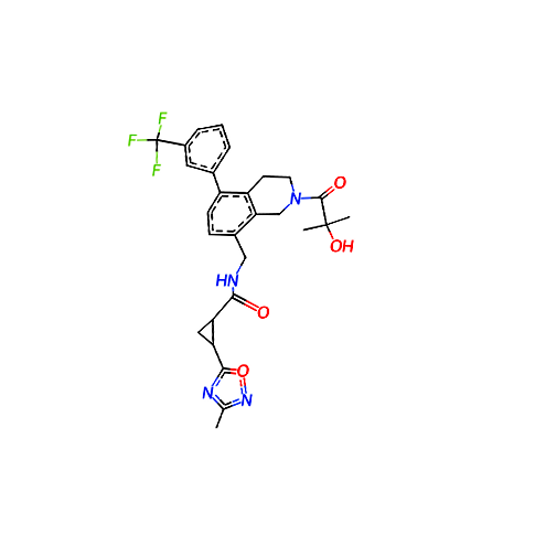 Cc1noc(C2CC2C(=O)NCc2ccc(-c3cccc(C(F)(F)F)c3)c3c2CN(C(=O)C(C)(C)O)CC3)n1